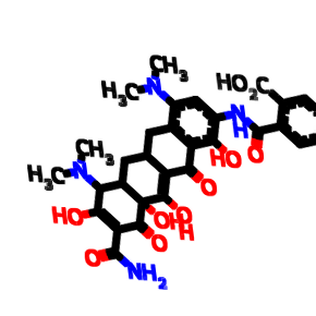 CN(C)c1cc(NC(=O)c2ccccc2C(=O)O)c(O)c2c1CC1CC3C(N(C)C)C(O)=C(C(N)=O)C(=O)C3(O)C(O)=C1C2=O